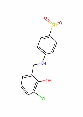 O=[SH](=O)c1ccc(NCc2cccc(Cl)c2O)cc1